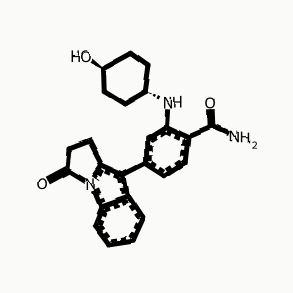 NC(=O)c1ccc(-c2c3n(c4ccccc24)C(=O)CC3)cc1N[C@H]1CC[C@H](O)CC1